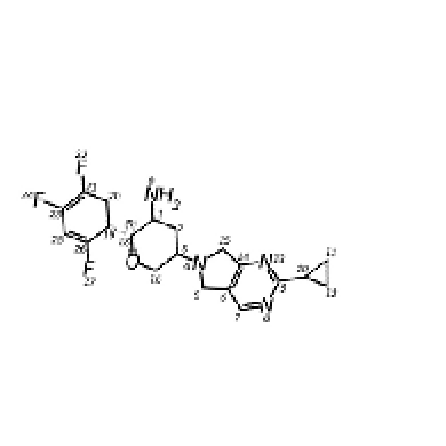 NC1CC(N2Cc3cnc(C4CC4)nc3C2)CO[C@@H]1C1CC(F)=C(F)C=C1F